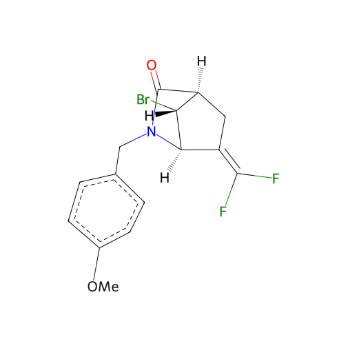 COc1ccc(CN2C(=O)[C@H]3CC(=C(F)F)[C@@H]2[C@@H]3Br)cc1